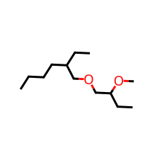 CCCCC(CC)COCC(CC)OC